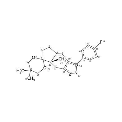 CC1(C)COC2(CCC3=Cc4c(cnn4-c4ccc(F)cc4)C[C@@]32C)OC1